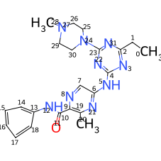 CCc1nc(Nc2cnc(C(=O)Nc3ccccc3)c(C)n2)nc(N2CCN(C)CC2)n1